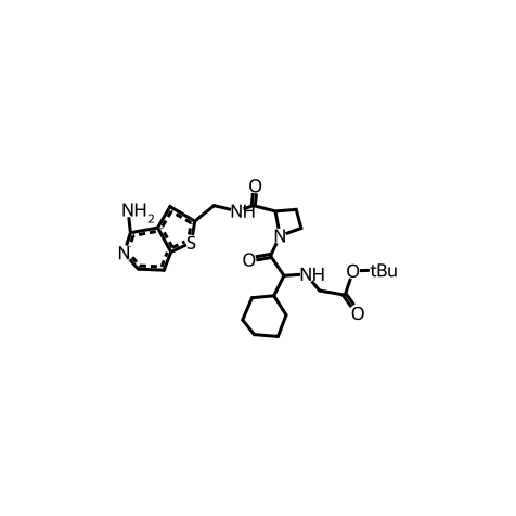 CC(C)(C)OC(=O)CNC(C(=O)N1CCC1C(=O)NCc1cc2c(N)nccc2s1)C1CCCCC1